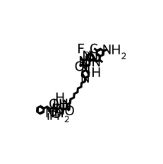 CC(C)CC(NC(=O)C(O)C(N)Cc1ccccc1)C(=O)NCCCCCCCCCN1CCN(c2cc3c(NC(C)c4cc(N)cc(C(F)(F)F)c4)ncnc3n(C)c2=O)CC1